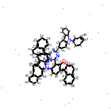 c1ccc(-n2c3ccccc3c3cc(C4=NC(c5cccc6ccccc56)NC(c5c(-n6c7ccccc7c7cc8ccccc8cc76)ccc6c5oc5ccc7ccccc7c56)=N4)ccc32)cc1